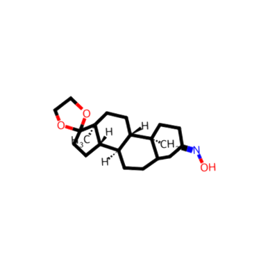 C[C@]12CCC(=NO)CC1CC[C@@H]1[C@@H]2CC[C@@]2(C)[C@H]1CCC21OCCO1